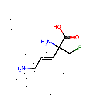 NCC=CC(N)(CF)C(=O)O